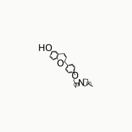 C[C@@H]1CCN([C@@H](C)COc2ccc(C3C=Cc4cc(O)ccc4O3)cc2)C1